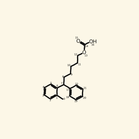 Cc1ccccc1C(CCCCCOC(=O)O)c1ccccc1